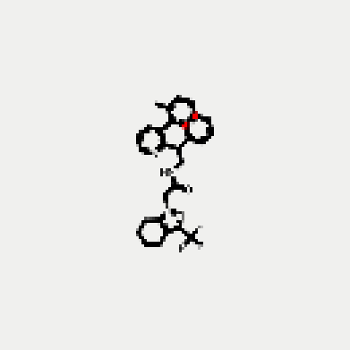 Cc1ccccc1-c1cccnc1C(CNC(=O)Cn1nc(C(F)(F)F)c2c1CCCC2)c1ccccc1